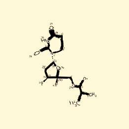 CC(C)C(=O)OC[C@@]1(F)O[C@@H](n2ccc(=O)[nH]c2=O)C[C@@H]1F